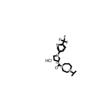 CC(C)N1CCCN(C(=O)[C@H]2CCN(c3ccc(C(F)(F)F)nc3)C2)CC1.Cl